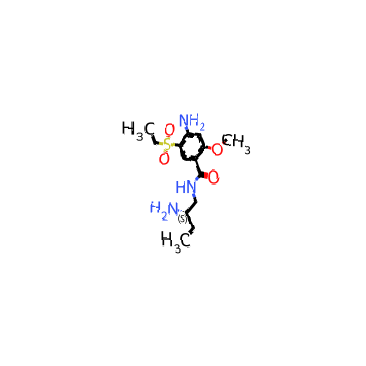 CC[C@H](N)CNC(=O)c1cc(S(=O)(=O)CC)c(N)cc1OC